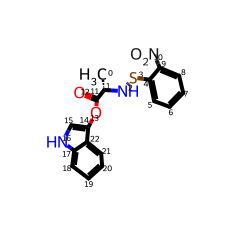 C[C@H](NSc1ccccc1[N+](=O)[O-])C(=O)Oc1c[nH]c2ccccc12